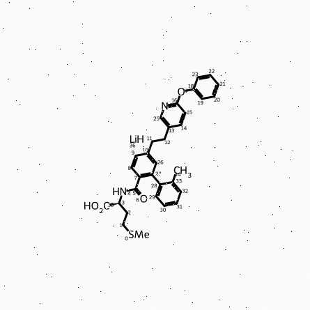 CSCC[C@H](NC(=O)c1ccc(CCc2ccc(Oc3ccccc3)nc2)cc1-c1ccccc1C)C(=O)O.[LiH]